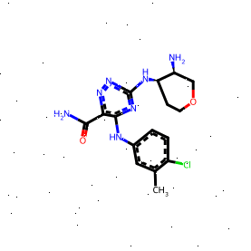 Cc1cc(Nc2nc(N[C@@H]3CCOC[C@@H]3N)nnc2C(N)=O)ccc1Cl